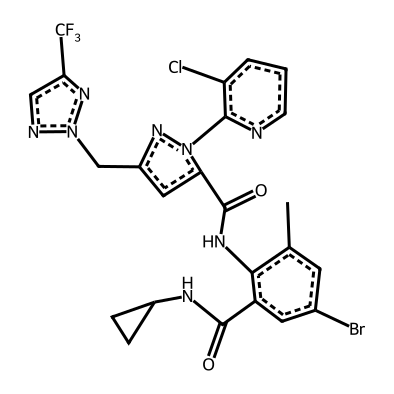 Cc1cc(Br)cc(C(=O)NC2CC2)c1NC(=O)c1cc(Cn2ncc(C(F)(F)F)n2)nn1-c1ncccc1Cl